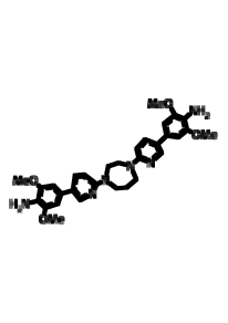 COc1cc(-c2ccc(N3CCCN(c4ccc(-c5cc(OC)c(N)c(OC)c5)cn4)CC3)nc2)cc(OC)c1N